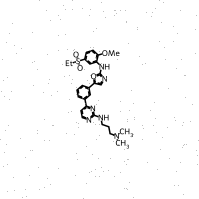 CCS(=O)(=O)c1ccc(OC)c(Nc2ncc(-c3cccc(-c4ccnc(NCCCN(C)C)n4)c3)o2)c1